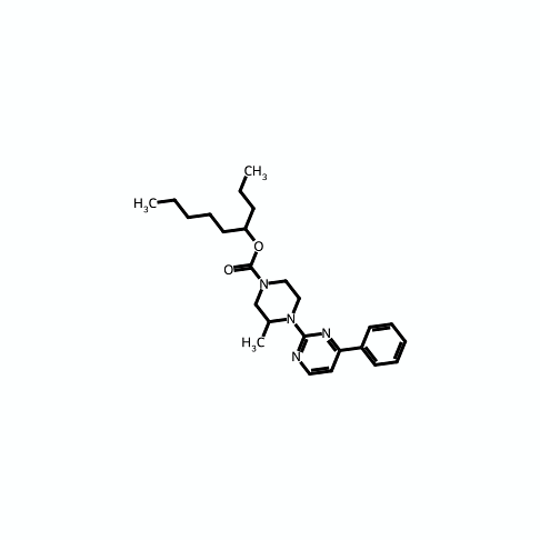 CCCCCC(CCC)OC(=O)N1CCN(c2nccc(-c3ccccc3)n2)C(C)C1